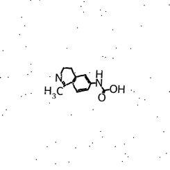 CC1=NCCc2cc(NC(=O)O)ccc21